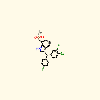 CS(=O)(=O)Cc1cccc2c(C(c3ccc(F)cc3)c3ccc(Cl)c(F)c3)c[nH]c12